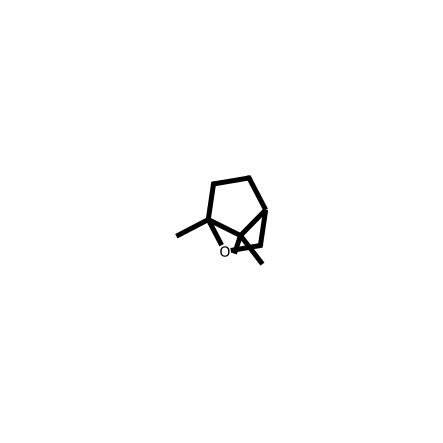 CC12CCC(CO1)C2(C)C